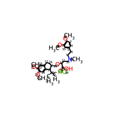 COc1ccc(CCN(C)CCC(OC[C@@H]2CCc3cc(OC)c(OC)cc3[C@@H]2C(C)C)C(=O)O)cc1OC.Cl